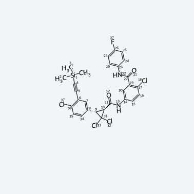 C[Si](C)(C)C#Cc1cc([C@@H]2[C@@H](C(=O)Nc3ccc(Cl)c(C(=O)Nc4ccc(F)cc4)c3)C2(Cl)Cl)ccc1Cl